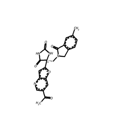 CC(=O)c1cnc2cc([C@]3(CN4Cc5ccc(C)cc5C4=O)NC(=O)NC3=O)oc2c1